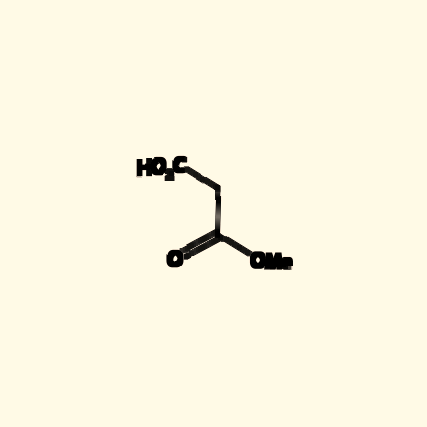 [CH2]OC(=O)CC(=O)O